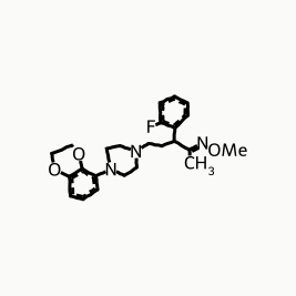 CO/N=C(\C)C(CCN1CCN(c2cccc3c2OCCO3)CC1)c1ccccc1F